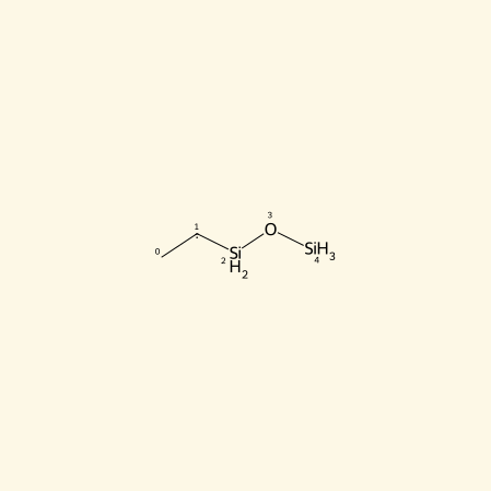 C[CH][SiH2]O[SiH3]